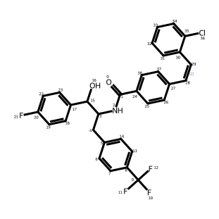 O=C(NC(Cc1ccc(C(F)(F)F)cc1)C(O)c1ccc(F)cc1)c1ccc(/C=C\c2ccccc2Cl)cc1